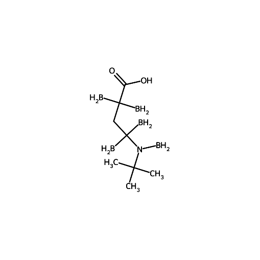 BN(C(C)(C)C)C(B)(B)CC(B)(B)C(=O)O